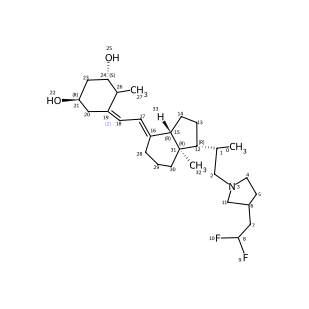 CC(CN1CCC(CC(F)F)C1)[C@H]1CC[C@H]2C(=C/C=C3/C[C@@H](O)C[C@H](O)C3C)CCC[C@]12C